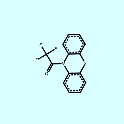 O=C(N1c2ccccc2Sc2ccccc21)C(F)(F)F